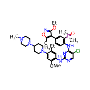 CCOc1noc(C)c1-c1ccc(Nc2nc(Nc3cc(CC)c(N4CCC(N5CCN(C)CC5)CC4)cc3OC)ncc2Cl)c(P(C)(C)=O)c1